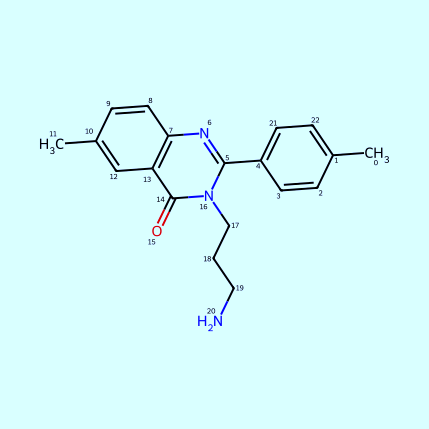 Cc1ccc(-c2nc3ccc(C)cc3c(=O)n2CCCN)cc1